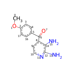 COc1ccc(C(=O)c2ccnc(N)c2N)cc1